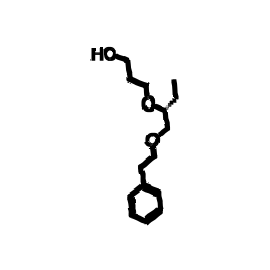 CC[C@H](COCCc1ccccc1)OCCCO